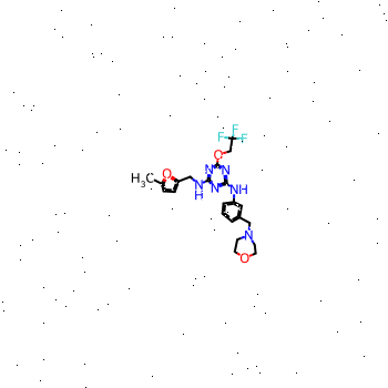 Cc1ccc(CNc2nc(Nc3cccc(CN4CCOCC4)c3)nc(OCC(F)(F)F)n2)o1